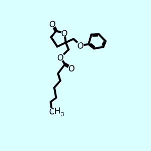 CCCCCCC(=O)OCC1(COc2ccccc2)CCC(=O)O1